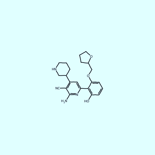 N#Cc1c(C2CCCNC2)cc(-c2c(O)cccc2OCC2CCCO2)nc1N